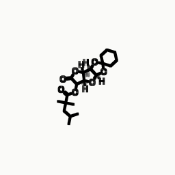 CC(C)CC(C)(C)C(=O)OC1C(=O)O[C@@H]2[C@H]3OC4(CCCCC4)O[C@H]3O[C@H]12